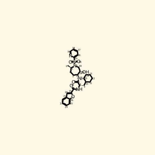 C[C@@H]1CC[C@H](NC(=O)[C@H](CC2CCCCC2)NC(=O)c2cc3ccccc3o2)[C@@H](O)CN1S(=O)(=O)c1ccccn1